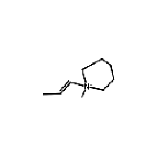 C/C=C/[N+]1(C)CCCCC1